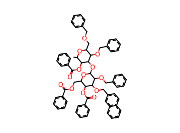 CC1OC(COCc2ccccc2)C(OCc2ccccc2)C(OC2OC(COC(=O)c3ccccc3)C(OC(=O)c3ccccc3)C(OCc3ccc4ccccc4c3)C2OCc2ccccc2)C1OC(=O)c1ccccc1